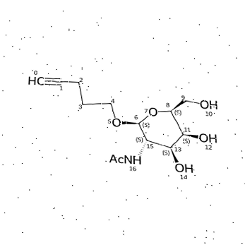 C#CCCCO[C@H]1O[C@@H](CO)[C@@H](O)[C@@H](O)[C@@H]1NC(C)=O